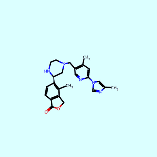 Cc1cn(-c2cc(C)c(CN3CCN[C@H](c4ccc5c(c4C)COC5=O)C3)cn2)cn1